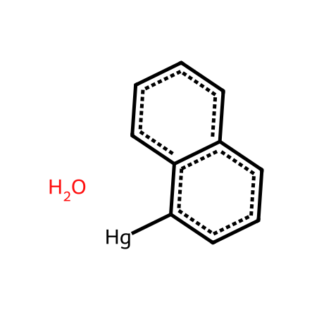 O.[Hg][c]1cccc2ccccc12